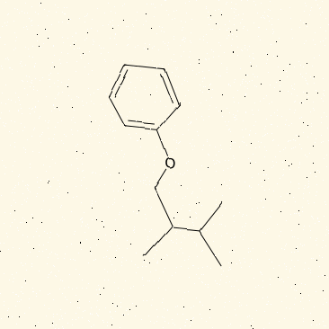 CC(C)C(C)COc1ccccc1